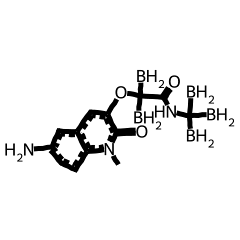 BC(B)(B)NC(=O)C(B)(B)Oc1cc2cc(N)ccc2n(C)c1=O